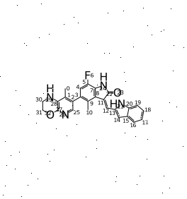 Cc1c(-c2cc(F)c3c(c2C)/C(=C/c2cc4ccccc4[nH]2)C(=O)N3)cnc2c1NCCO2